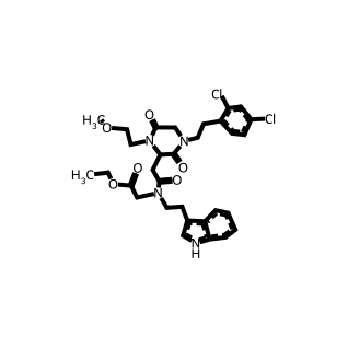 CCOC(=O)CN(CCc1c[nH]c2ccccc12)C(=O)CC1C(=O)N(CCc2ccc(Cl)cc2Cl)CC(=O)N1CCOC